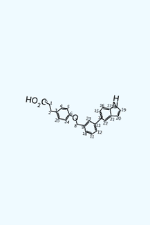 O=C(O)CCc1ccc(OCc2cccc(-c3ccc4[nH]ccc4c3)c2)cc1